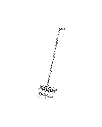 CCC(CC)N1C(=O)c2ccc3c4c(SCC(NC(C)=O)C(=O)NC(Cc5ccccc5)C(=O)O)cc5c6c(ccc(c7c(OCCOCCOCCOCCOCCOCCOCCOCCOCCOCCOCCOCCOCCOCCOCCOCCOC)cc(c2c37)C1=O)c64)C(=O)N(C(CC)CC)C5=O